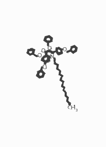 CCCCCCCCCCCCCCCCCCn1c(-c2ccc(OCc3ccccc3)cc2)c(OCc2ccccc2)c(=O)c2c(OCc3ccccc3)cc(OCc3ccccc3)cc21